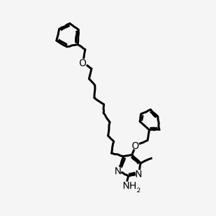 Cc1nc(N)nc(CCCCCCCCCCOCc2ccccc2)c1OCc1ccccc1